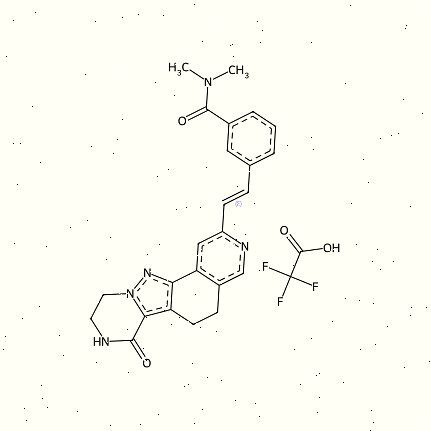 CN(C)C(=O)c1cccc(/C=C/c2cc3c(cn2)CCc2c-3nn3c2C(=O)NCC3)c1.O=C(O)C(F)(F)F